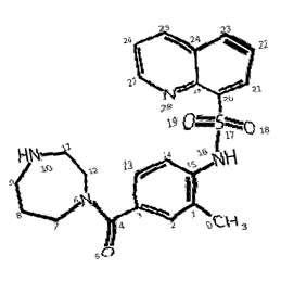 Cc1cc(C(=O)N2CCCNCC2)ccc1NS(=O)(=O)c1cccc2cccnc12